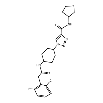 O=C(Cc1c(F)cccc1Cl)NC1CCC(n2cc(C(=O)NC3CCCC3)nn2)CC1